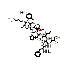 CC[C@H](C)[C@H](NC(=O)[C@H](CCC(=O)O)NC(=O)[C@@H](N)Cc1ccccc1)C(=O)N[C@@H](CC(C)C)C(=O)N1CCC[C@H]1C(=O)N[C@H](C(=O)N[C@@H](Cc1ccc(O)cc1)C(=O)N[C@@H](CCCCN)C(=O)O)[C@@H](C)CC